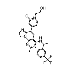 Cc1nc(NC(C)c2cccc(C(F)(F)F)c2)c2c(n1)N1CCN=C1C(c1ccn(CCO)c(=O)c1)=C2